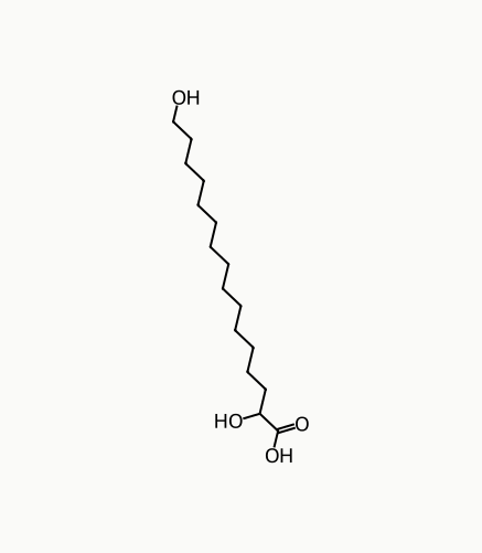 O=C(O)C(O)CCCCCCCCCCCCCCO